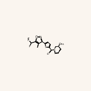 Cc1c(-c2ccc(C(=O)N3CCCC(O)C3)s2)noc1C(F)F